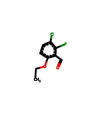 CCOc1ccc(Cl)c(F)c1C=O